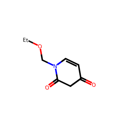 CCOCN1C=CC(=O)CC1=O